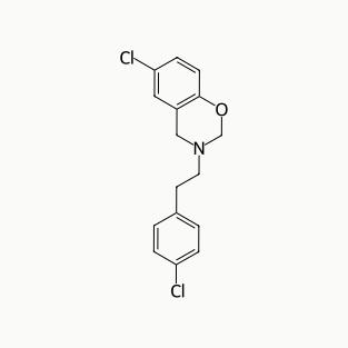 Clc1ccc(CCN2COc3ccc(Cl)cc3C2)cc1